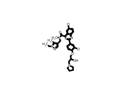 CCn1ncc(CN(C)C(=O)c2nc(-c3ccc(OCC(O)CN4CCCC4)c(Cl)c3)nc3ccc(Cl)cc23)c1C